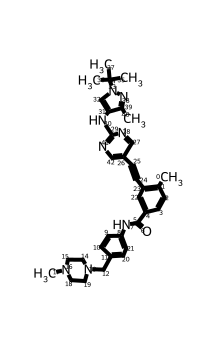 Cc1ccc(C(=O)Nc2ccc(CN3CCN(C)CC3)cc2)cc1C#Cc1cnc(Nc2cn(C(C)(C)C)nc2C)nc1